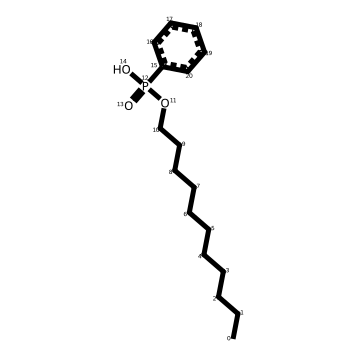 CCCCCCCCCCCOP(=O)(O)c1ccccc1